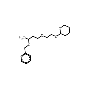 CC(CCOCCOC1CCCCO1)OCc1ccccc1